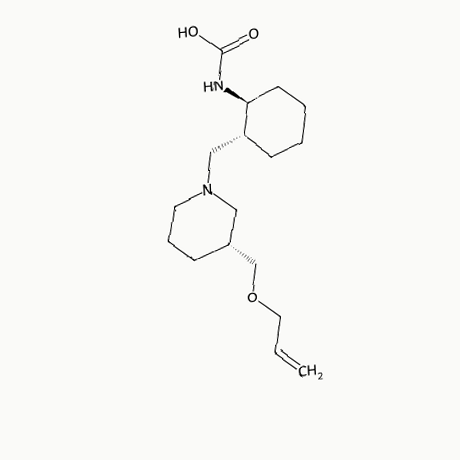 C=CCOC[C@@H]1CCCN(C[C@H]2CCCC[C@@H]2NC(=O)O)C1